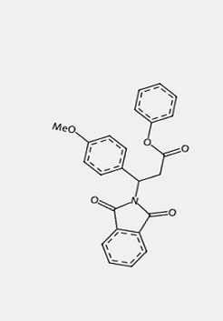 COc1ccc(C(CC(=O)Oc2ccccc2)N2C(=O)c3ccccc3C2=O)cc1